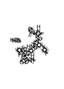 CNC(C)C(=O)NC(C(=O)N1Cc2ccc(NC(=O)C3(C)CN(C(=O)CN4C[C@@H](C)NC[C@@H]4CN4CCOCC4C)c4cc(Cc5ccc(F)cc5)ccc43)cc2C1C(=O)Nc1c(F)cccc1F)C1CCOCC1.Cl.Cl.Cl